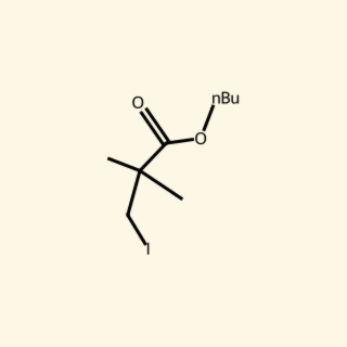 CCCCOC(=O)C(C)(C)CI